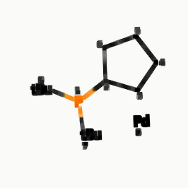 CC(C)(C)P(C1CCCC1)C(C)(C)C.[Pd]